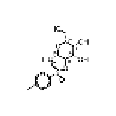 Cc1ccc(S(=O)(=O)O[C@@H]2[C@@H](O)[C@@H](O)[C@@H](CO)O[C@H]2O)cc1